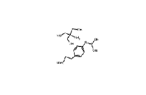 CCCCCCCCCCCCc1ccc(OP(O)O)cc1.NC(CO)(CO)CO